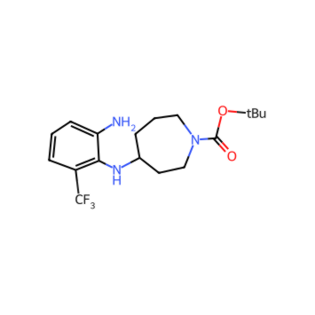 CC(C)(C)OC(=O)N1CCCC(Nc2c(N)cccc2C(F)(F)F)CC1